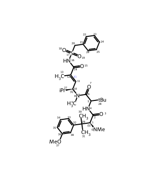 CN[C@H](C(=O)NC(C(=O)N(C)[C@H](/C=C(\C)C(=O)NS(=O)(=O)Cc1ccccc1)C(C)C)C(C)(C)C)C(C)(C)c1cccc(OC)c1